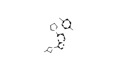 OC1CN(c2cnn3ccc(N4CCC[C@@H]4c4cc(F)ccc4F)nc23)C1